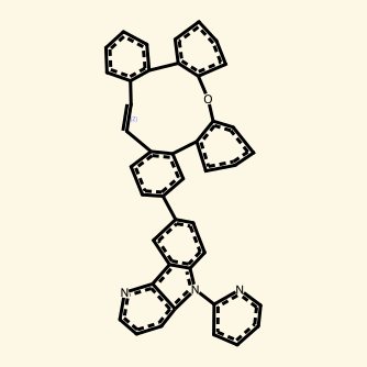 C1=C\c2ccc(-c3ccc4c(c3)c3ncccc3n4-c3ccccn3)cc2-c2ccccc2Oc2ccccc2-c2ccccc2/1